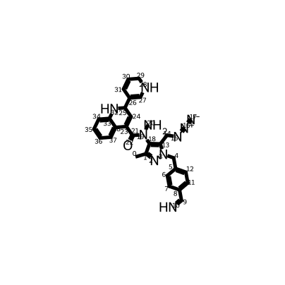 Cc1nn(Cc2ccc(C=N)cc2)c(CN=[N+]=[N-])c1N(N)C(=O)C1=CC(C2=CNCC=C2)Nc2ccccc21